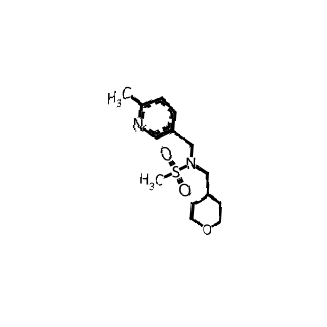 Cc1ccc(CN(CC2CCOCC2)S(C)(=O)=O)cn1